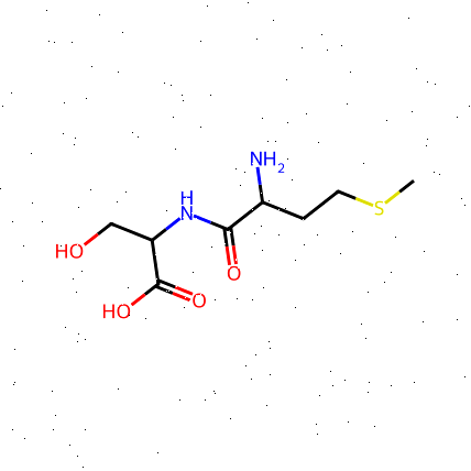 CSCCC(N)C(=O)NC(CO)C(=O)O